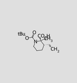 C=C[C@@H]1CCCN(C(=O)OC(C)(C)C)[C@@]1(C)C(=O)O